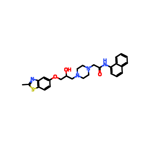 Cc1nc2cc(OCC(O)CN3CCN(CC(=O)Nc4cccc5ccccc45)CC3)ccc2s1